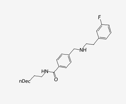 CCCCCCCCCCCCNC(=O)c1ccc(CNCCc2cccc(F)c2)cc1